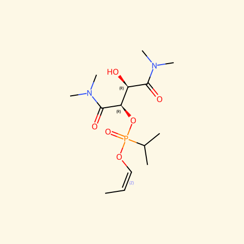 C/C=C\OP(=O)(O[C@@H](C(=O)N(C)C)[C@@H](O)C(=O)N(C)C)C(C)C